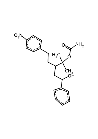 CC(C)(OC(N)=O)C(CCc1ccc([N+](=O)[O-])cc1)CC(O)c1ccccc1